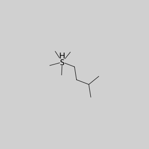 CC(C)CC[SH](C)(C)(C)C